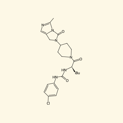 CCC(C)[C@@H](NC(=O)Nc1ccc(Cl)cc1)C(=O)N1CCC(N2Cc3cnc(C)n3C2=O)CC1